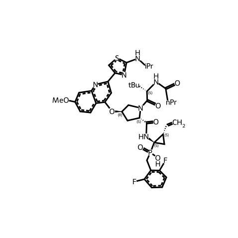 C=C[C@@H]1C[C@]1(NC(=O)[C@@H]1C[C@@H](Oc2cc(-c3csc(NC(C)C)n3)nc3cc(OC)ccc23)CN1C(=O)[C@@H](NC(=O)CCC)C(C)(C)C)P(=O)(O)Cc1c(F)cccc1F